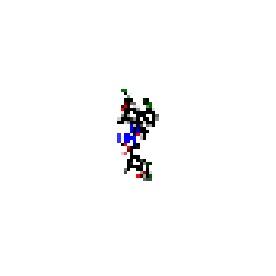 Cc1cc(C(=O)CNC2=NC(c3cccc(Br)c3)(c3ccc(OC(F)F)c(C)c3)CO2)ccc1OC(F)F